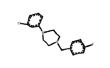 Fc1ccc(CN2CCN(c3cccc(Cl)c3)CC2)cc1